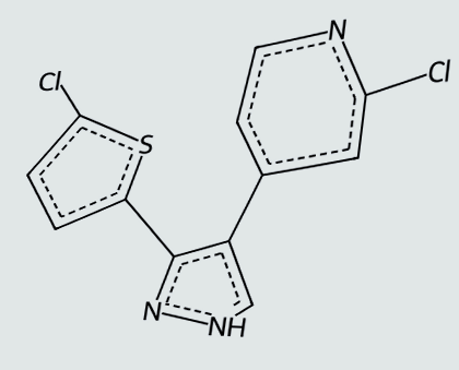 Clc1cc(-c2c[nH]nc2-c2ccc(Cl)s2)ccn1